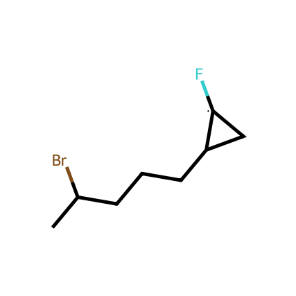 CC(Br)CCCC1C[C]1F